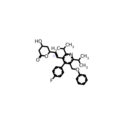 CC(C)c1nc(C(C)C)c(COc2ccccc2)c(-c2ccc(F)cc2)c1/C=C/C1CC(O)CC(=O)O1